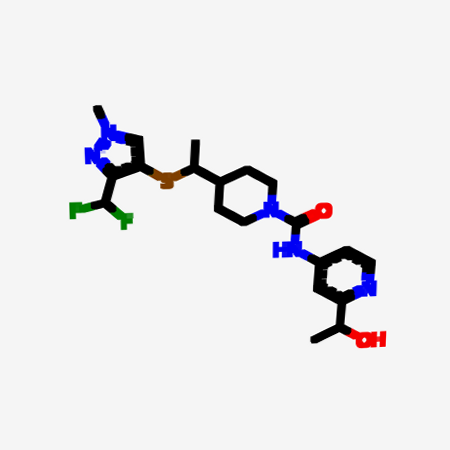 CC(O)c1cc(NC(=O)N2CCC(C(C)Sc3cn(C)nc3C(F)F)CC2)ccn1